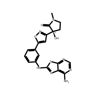 CN1CC[C@](O)(c2cc(-c3cccc(Nc4nc5c(N)ncnc5s4)c3)on2)C1=O